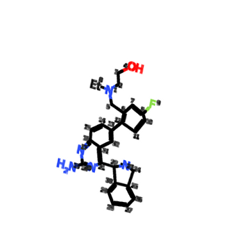 CCN(CCO)Cc1cc(F)ccc1-c1ccc2nc(N)nc(C3[N]Cc4ccccc43)c2c1